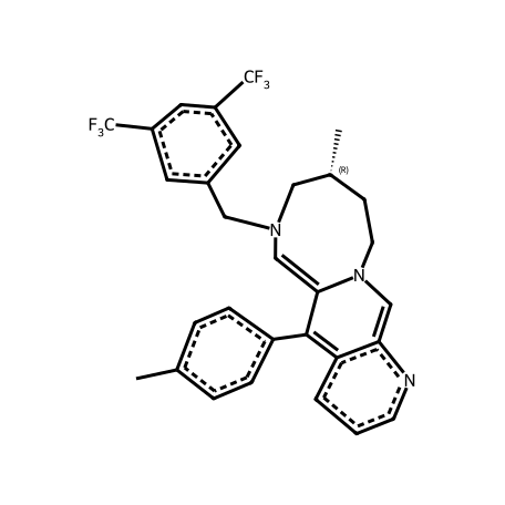 Cc1ccc(C2=c3cccnc3=CN3CC[C@@H](C)CN(Cc4cc(C(F)(F)F)cc(C(F)(F)F)c4)C=C23)cc1